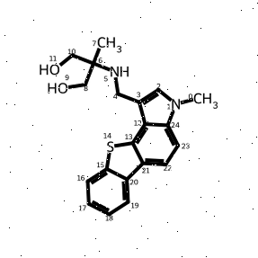 Cn1cc(CNC(C)(CO)CO)c2c3sc4ccccc4c3ccc21